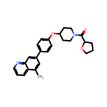 Cc1cc(-c2ccc(OC3CCN(C(=O)C4CCCO4)CC3)cc2)cc2ncccc12